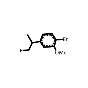 [CH2]C(CF)c1ccc(CC)c(OC)c1